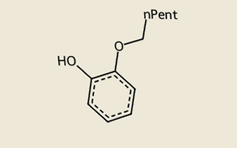 CCCCCCOc1ccccc1O